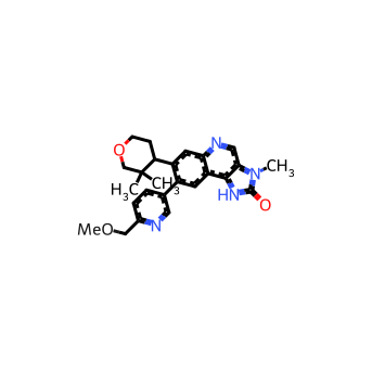 COCc1ccc(-c2cc3c(cc2C2CCOCC2(C)C)ncc2c3[nH]c(=O)n2C)cn1